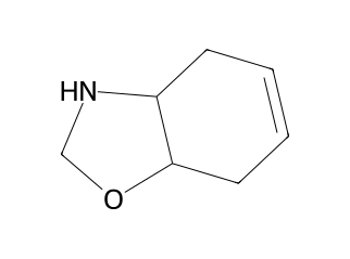 C1=CCC2OCNC2C1